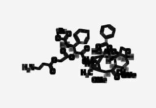 CO[C@H]1C(=O)[C@]2(C)[C@@H](OC)C[C@H]3OC[C@@]3(OC(C)=O)[C@H]2[C@H](OC(=O)c2ccccc2)[C@]2(O)C[C@H](OC(=O)[C@H](OC(=O)COC(=O)CCN)[C@@H](NC(=O)OC(C)(C)C)c3ccccc3)C(C)=C1C2(C)C